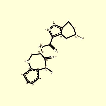 C[C@H]1CCc2onc(C(=O)N[C@H]3COc4ccccc4N(C)C3=O)c2C1